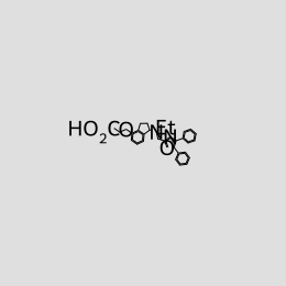 CCN(Cc1nc(-c2ccccc2)c(-c2ccccc2)o1)C1CCc2c(OCC(=O)O)cccc21